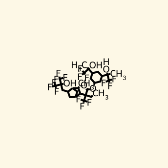 CCC(C(=O)OC1CC(C(C)(O)C(F)(F)F)CC(C(C)(O)C(F)(F)F)C1)(C1C2CC(CC(O)(C(F)(F)F)C(F)(F)F)C(C2)C1C)C(F)(F)F